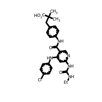 CCNC(=O)Nc1cc(Nc2ccc(Cl)cc2)c(C(=O)Nc2ccc(CC(C)(C)C(=O)O)cc2)cn1